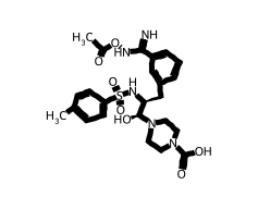 CC(=O)ONC(=N)c1cccc(C[C@H](NS(=O)(=O)c2ccc(C)cc2)[C@H](O)N2CCN(C(=O)O)CC2)c1